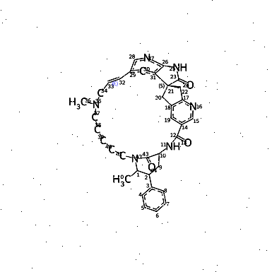 CC1C(c2ccccc2)CC2NC(=O)c3cnc4c(c3)C[C@@]3(C4)C(=O)Nc4ncc(cc43)/C=C/CN(C)CCCCCN1C2=O